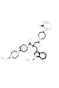 CCOC(=O)C(CC(=O)N1CCC(NC(N)=O)CC1)(Cc1cn(C)c2ccccc12)C(=O)N1CCC(N2CCN(C)CC2)CC1